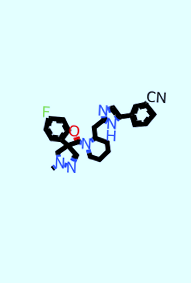 CN1CC(C(=O)N2CCCCC2Cc2ncc(-c3cccc(C#N)c3)[nH]2)(c2ccc(F)cc2)C=N1